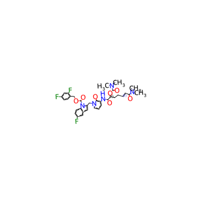 CN(C)C(=O)/C=C/CC[C@H](OC(=O)N(C)C)C(=O)Nc1cccn(Cc2cc3cc(F)ccc3n2C(=O)OCc2ccc(F)cc2F)c1=O